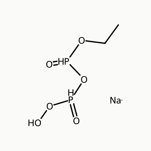 CCO[PH](=O)O[PH](=O)OO.[Na]